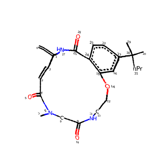 C=C1/C=C/C(=O)N(C)CC(=O)NCCOc2cc(C(C)(C)CCC)ccc2C(=O)N1